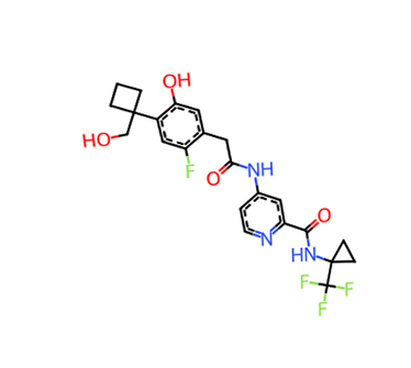 O=C(Cc1cc(O)c(C2(CO)CCC2)cc1F)Nc1ccnc(C(=O)NC2(C(F)(F)F)CC2)c1